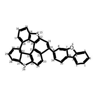 c1ccc2c(c1)oc1cc(-c3cc4sc5cccc6c5c4c4c3ccc3sc5cccc-6c5c34)ccc12